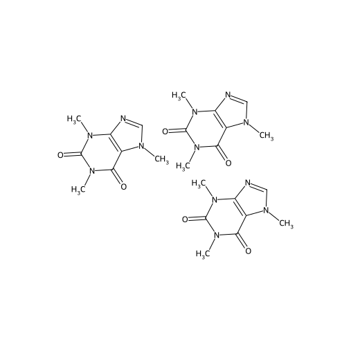 Cn1c(=O)c2c(ncn2C)n(C)c1=O.Cn1c(=O)c2c(ncn2C)n(C)c1=O.Cn1c(=O)c2c(ncn2C)n(C)c1=O